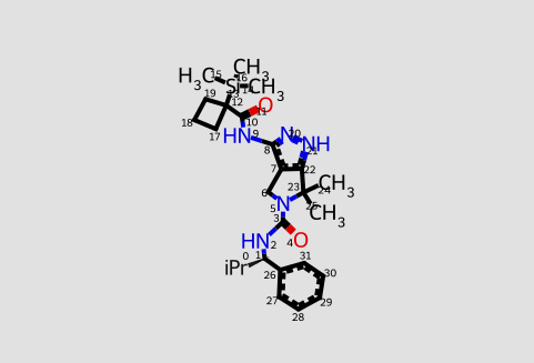 CC(C)[C@@H](NC(=O)N1Cc2c(NC(=O)C3([Si](C)(C)C)CCC3)n[nH]c2C1(C)C)c1ccccc1